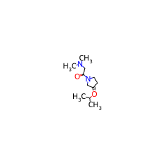 CC(C)O[C@H]1CCN(C(=O)CN(C)C)C1